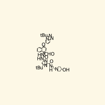 CC(C)(C)c1cc(NC(=O)N[C@@]2(C=O)C=C[C@@H](Oc3ccc4nnc(C(C)(C)C)n4c3)c3ccccc32)nc(C(=O)NCCN2CCC(O)CC2)n1